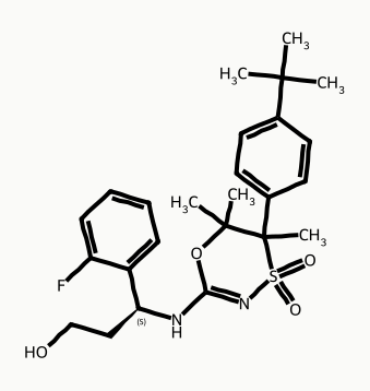 CC(C)(C)c1ccc(C2(C)C(C)(C)OC(N[C@@H](CCO)c3ccccc3F)=NS2(=O)=O)cc1